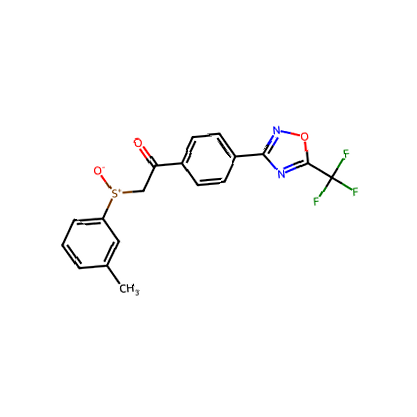 Cc1cccc([S+]([O-])CC(=O)c2ccc(-c3noc(C(F)(F)F)n3)cc2)c1